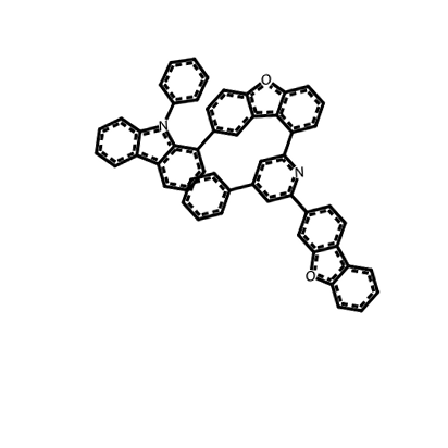 c1ccc(-c2cc(-c3ccc4c(c3)oc3ccccc34)nc(-c3cccc4oc5ccc(-c6cccc7c8ccccc8n(-c8ccccc8)c67)cc5c34)c2)cc1